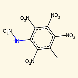 Cc1c([N+](=O)[O-])c(N[N+](=O)[O-])c([N+](=O)[O-])c([N+](=O)[O-])c1[N+](=O)[O-]